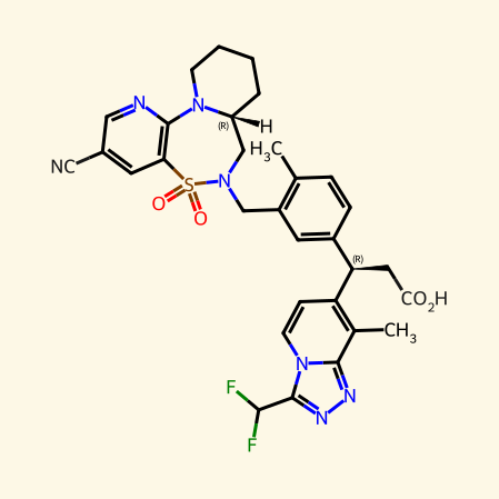 Cc1ccc([C@@H](CC(=O)O)c2ccn3c(C(F)F)nnc3c2C)cc1CN1C[C@H]2CCCCN2c2ncc(C#N)cc2S1(=O)=O